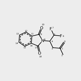 C=C(C)CC(C(F)F)N1C(=O)c2ccccc2C1=O